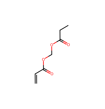 C=CC(=O)OCOC(=O)CC